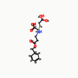 O=C(O)CC[C@H](NCCC(=O)OCc1ccccc1)C(=O)O